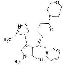 Cc1c2c(cn1C)-n1c(C)nnc1[C@H](CC(=O)N1CCOCC1)N=C2c1ccccc1